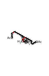 CC(=O)OCCC/C=C\C/C=C\CCCCCCCCC(CCCCCCCC/C=C\C/C=C\CCCOC(C)=O)OC(=O)CC(C)(C)CC(C)CN(C)C